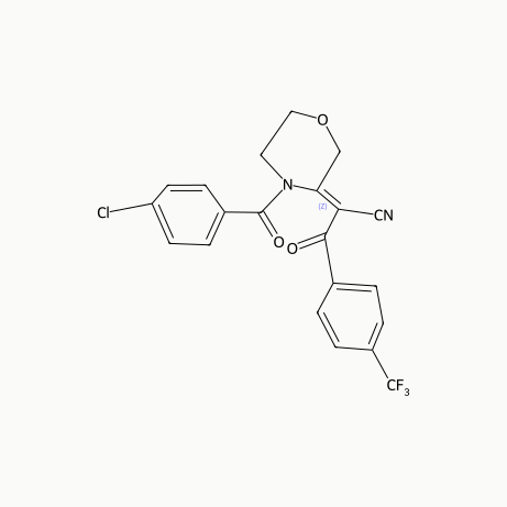 N#C/C(C(=O)c1ccc(C(F)(F)F)cc1)=C1\COCCN1C(=O)c1ccc(Cl)cc1